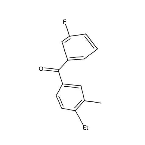 CCc1ccc(C(=O)c2cccc(F)c2)cc1C